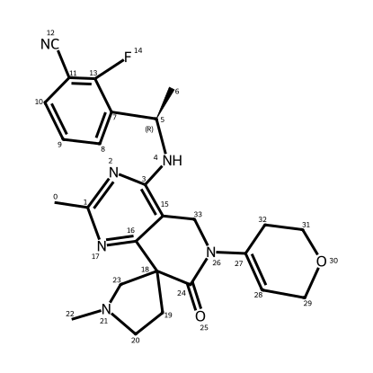 Cc1nc(N[C@H](C)c2cccc(C#N)c2F)c2c(n1)C1(CCN(C)C1)C(=O)N(C1=CCOCC1)C2